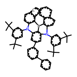 CC(C)(C)c1cc(N2c3cc(-c4cccc(-c5ccccc5)c4)cc4c3B(c3c2ccc2ccccc32)c2c(ccc3ccccc23)N4c2cc(C(C)(C)C)cc(C(C)(C)C)c2)cc(C(C)(C)C)c1